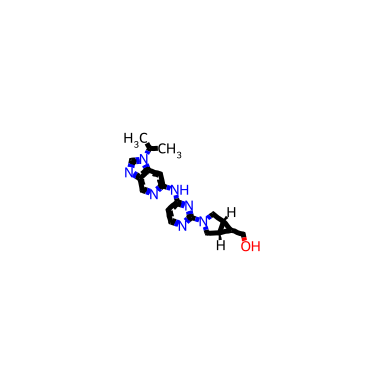 CC(C)n1cnc2cnc(Nc3ccnc(N4C[C@@H]5C(CO)[C@@H]5C4)n3)cc21